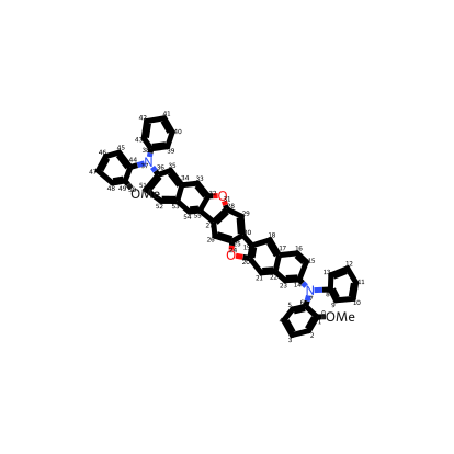 COc1ccccc1N(c1ccccc1)c1ccc2cc3c(cc2c1)oc1cc2c(cc13)oc1cc3cc(N(c4ccccc4)c4ccccc4OC)ccc3cc12